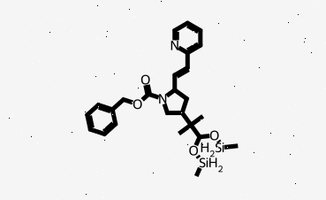 C[SiH2]OC(O[SiH2]C)C(C)(C)C1CC(C=Cc2ccccn2)N(C(=O)OCc2ccccc2)C1